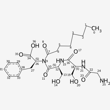 CCCCCCCC(=O)N(C(=O)[C@H](CO)NC(=O)[C@H](CO)NC(=O)CN)[C@@H](Cc1ccccc1)C(=O)O